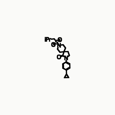 CC(C)CS(=O)(=O)N1CCC2(CCN(c3ccc(C4CC4)cc3)C2=O)CC1